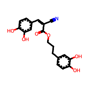 N#CC(=Cc1ccc(O)c(O)c1)C(=O)OCCCc1ccc(O)c(O)c1